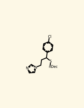 CCCCCCCCCCSC(CCn1ccnc1)c1ccc(Cl)cc1